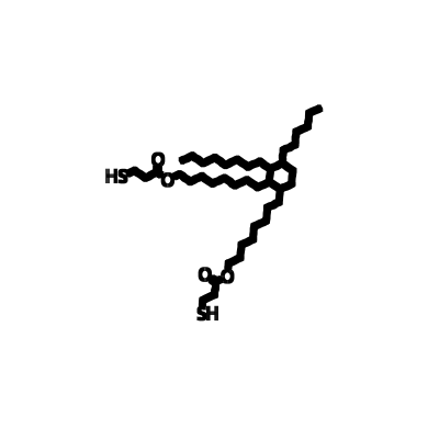 CCCCCCCCC1C(CCCCCC)CCC(CCCCCCCCOC(=O)CCS)C1CCCCCCCCOC(=O)CCS